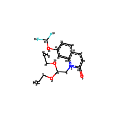 CCOC(Cn1c(=O)ccc2ccc(OC(F)F)cc21)OCC